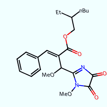 CCCCC(CC)COC(=O)C(=Cc1ccccc1)C(OC)C1=NC(=O)C(=O)N1OC